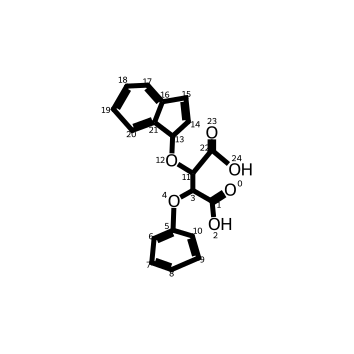 O=C(O)C(Oc1ccccc1)C(OC1C=Cc2ccccc21)C(=O)O